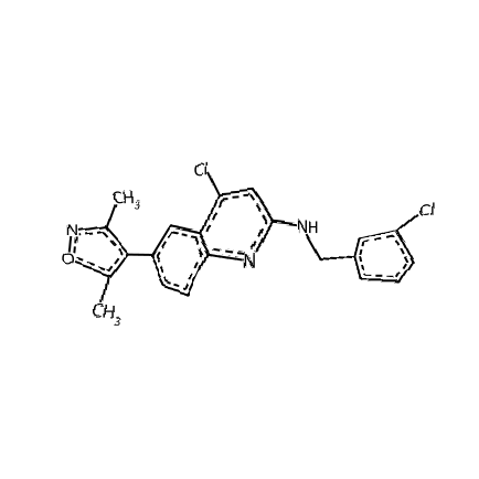 Cc1noc(C)c1-c1ccc2nc(NCc3cccc(Cl)c3)cc(Cl)c2c1